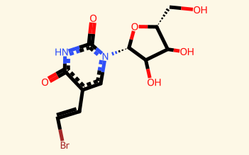 O=c1[nH]c(=O)n([C@@H]2O[C@H](CO)C(O)C2O)cc1/C=C/Br